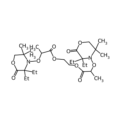 CCC1(CC)C(=O)OCC(C)(C)N1OC(C)C(=O)OCCOC(=O)C(C)ON1C(C)(C)COC(=O)C1(CC)CC